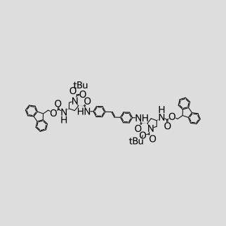 CC(C)(C)OC(=O)N1C[C@@H](NC(=O)OCC2c3ccccc3-c3ccccc32)C[C@H]1C(=O)Nc1ccc(/C=C/c2ccc(NC(=O)[C@@H]3C[C@H](NC(=O)OCC4c5ccccc5-c5ccccc54)CN3C(=O)OC(C)(C)C)cc2)cc1